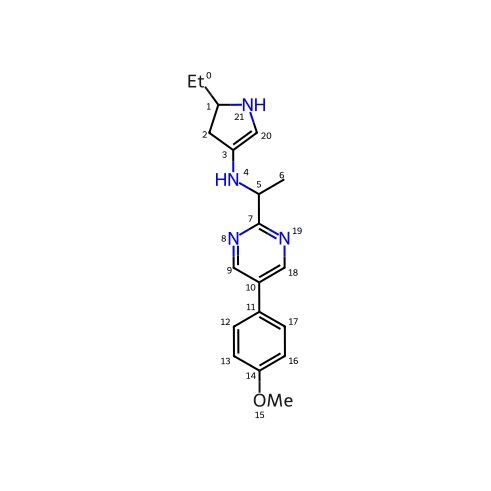 CCC1CC(NC(C)c2ncc(-c3ccc(OC)cc3)cn2)=CN1